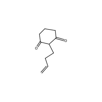 C=CCCC1C(=O)CCCC1=O